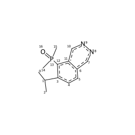 CC(C)c1ccc2cnncc2c1P(C)(C)=O